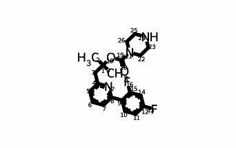 CC(C)(Cc1cccc(-c2ccc(F)cc2F)n1)OC(=O)N1CCNCC1